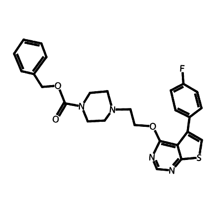 O=C(OCc1ccccc1)N1CCN(CCOc2ncnc3scc(-c4ccc(F)cc4)c23)CC1